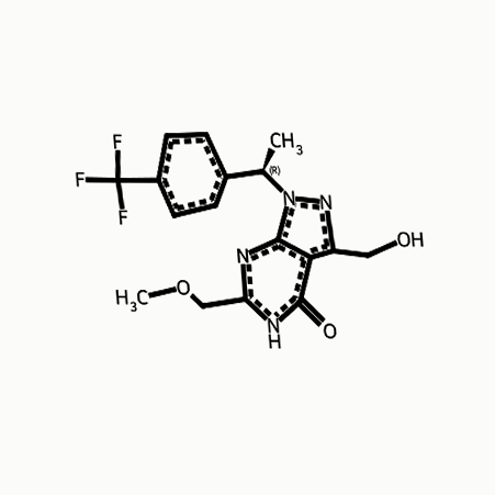 COCc1nc2c(c(CO)nn2[C@H](C)c2ccc(C(F)(F)F)cc2)c(=O)[nH]1